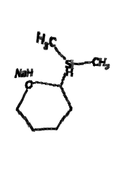 C[SiH](C)C1CCCCO1.[NaH]